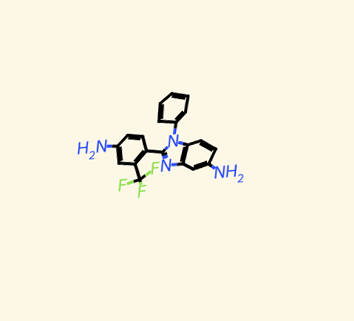 Nc1ccc(-c2nc3cc(N)ccc3n2-c2ccccc2)c(C(F)(F)F)c1